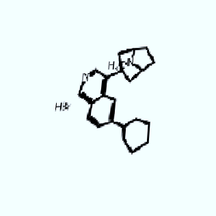 Br.CN1C2CCC1CC(c1cncc3ccc(C4CCCCC4)cc13)C2